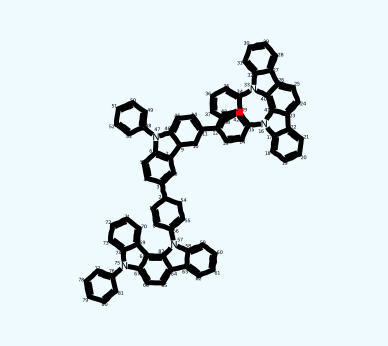 C1=CC(c2ccc3c(c2)C2CC(c4ccc(-n5c6ccccc6c6ccc7c8ccccc8n(-c8ccccc8)c7c65)cc4)=CC=C2N3c2ccccc2)CC=C1n1c2ccccc2c2ccc3c(c4ccccc4n3-c3ccccc3)c21